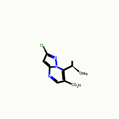 CO[C@H](C)c1c(C(=O)O)cnc2cc(Cl)nn12